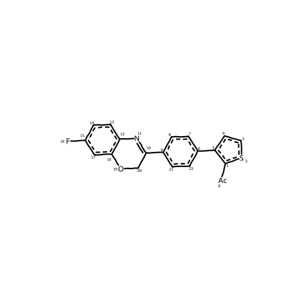 CC(=O)c1sccc1-c1ccc(C2=Nc3ccc(F)cc3OC2)cc1